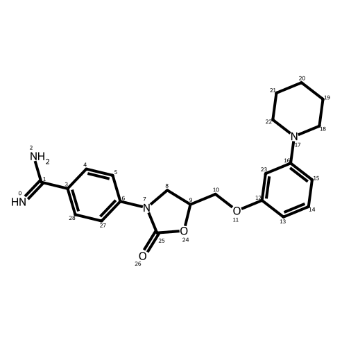 N=C(N)c1ccc(N2CC(COc3cccc(N4CCCCC4)c3)OC2=O)cc1